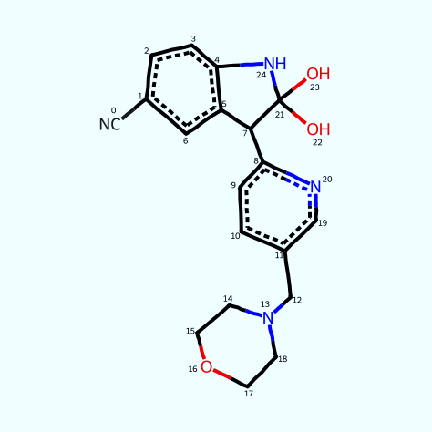 N#Cc1ccc2c(c1)C(c1ccc(CN3CCOCC3)cn1)C(O)(O)N2